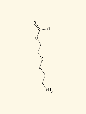 BCCSSCCOC(=O)Cl